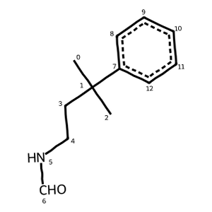 CC(C)(CCNC=O)c1ccccc1